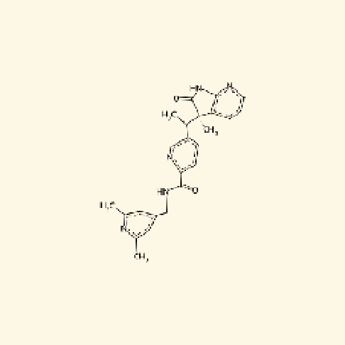 Cc1cc(CNC(=O)c2ccc(C(C)[C@@]3(C)C(=O)Nc4ncccc43)cn2)cc(C)n1